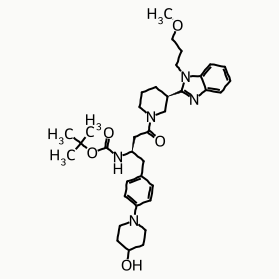 COCCCn1c([C@@H]2CCCN(C(=O)C[C@@H](Cc3ccc(N4CCC(O)CC4)cc3)NC(=O)OC(C)(C)C)C2)nc2ccccc21